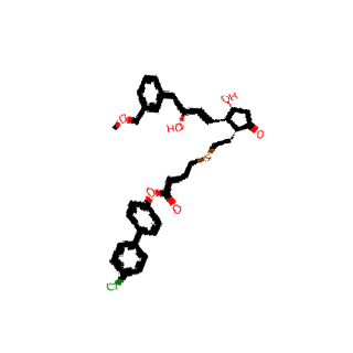 COCc1cccc(C[C@H](O)C=C[C@H]2[C@H](O)CC(=O)[C@@H]2CCSCCCC(=O)Oc2ccc(-c3ccc(Cl)cc3)cc2)c1